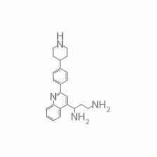 NCCC(N)c1cc(-c2ccc(C3CCNCC3)cc2)nc2ccccc12